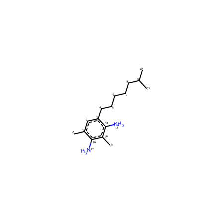 Cc1cc(CCCCCC(C)C)c(N)c(C)c1N